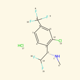 CN[C@@H](c1ccc(C(F)(F)F)cc1Cl)C(F)F.Cl